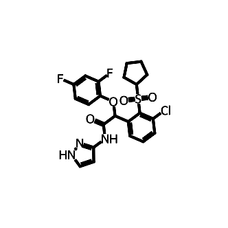 O=C(Nc1cc[nH]n1)C(Oc1ccc(F)cc1F)c1cccc(Cl)c1S(=O)(=O)C1CCCC1